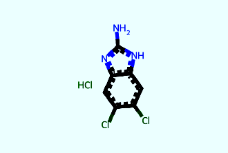 Cl.Nc1nc2cc(Cl)c(Cl)cc2[nH]1